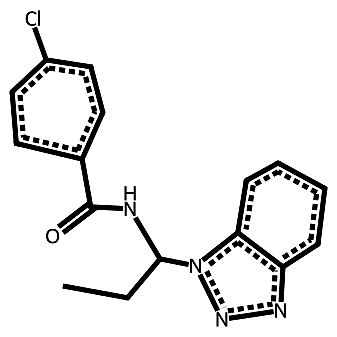 CCC(NC(=O)c1ccc(Cl)cc1)n1nnc2ccccc21